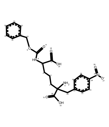 NC(CCCC(NC(=O)OCc1ccccc1)C(=O)O)(Cc1ccc([N+](=O)[O-])cc1)C(=O)O